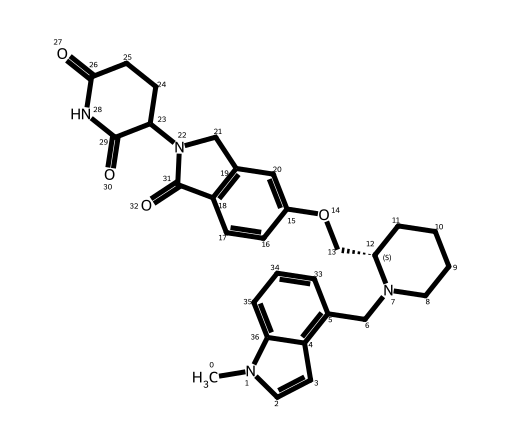 Cn1ccc2c(CN3CCCC[C@H]3COc3ccc4c(c3)CN(C3CCC(=O)NC3=O)C4=O)cccc21